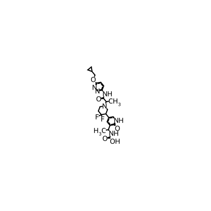 CC(NC(=O)O)c1cc(C2CN(C(C)C(=O)Nc3ccc(OCC4CC4)nn3)CCC2(F)F)c[nH]c1=O